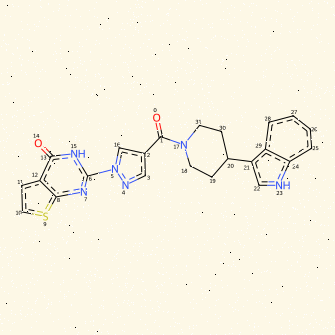 O=C(c1cnn(-c2nc3sccc3c(=O)[nH]2)c1)N1CCC(c2c[nH]c3ccccc23)CC1